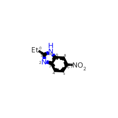 CCc1nc2ccc([N+](=O)[O-])cc2[nH]1